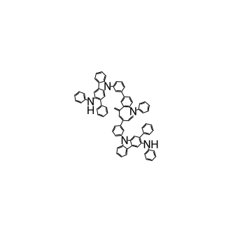 C=C1/C=C(c2cccc(-n3c4ccccc4c4cc(Nc5ccccc5)c(-c5ccccc5)cc43)c2)\C=C/N(c2ccccc2)c2ccc(-c3cccc(-n4c5ccccc5c5cc(Nc6ccccc6)c(-c6ccccc6)cc54)c3)cc21